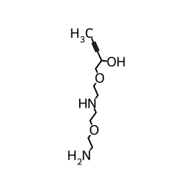 CC#CC(O)COCCNCCOCCN